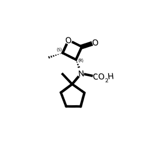 C[C@@H]1OC(=O)[C@@H]1N(C(=O)O)C1(C)CCCC1